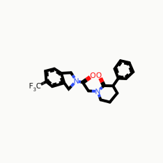 O=C(CN1CCCC(c2ccccc2)C1=O)N1Cc2ccc(C(F)(F)F)cc2C1